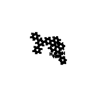 N=C(NC(c1cccc(-c2cccc(-c3ccc(-c4cc(-c5ccccc5)cc(-c5ccccc5)c4)cc3)c2)c1)C(N)c1ccncc1)c1ccncc1